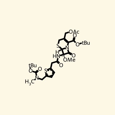 CO[C@@]1(NC(=O)Cc2ccc(CN(C)C(=O)OC(C)(C)C)s2)C(=O)N2C(C(=O)OC(C)(C)C)=C(COC(C)=O)CS[C@H]21